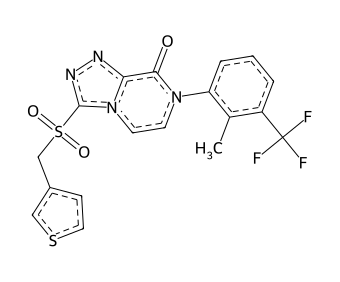 Cc1c(-n2ccn3c(S(=O)(=O)Cc4ccsc4)nnc3c2=O)cccc1C(F)(F)F